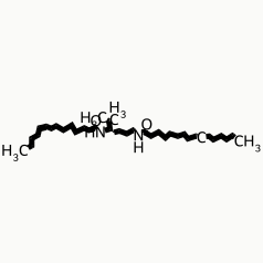 CCCC/C=C\CCCCCCCC(=O)N[C@@H](CCCCNC(=O)CCCCCCCCCCCCCCC)C(C)C